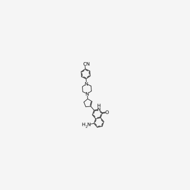 N#Cc1ccc(N2CCN(C3C=C(c4cc5c(N)cccc5c(=O)[nH]4)CC3)CC2)cc1